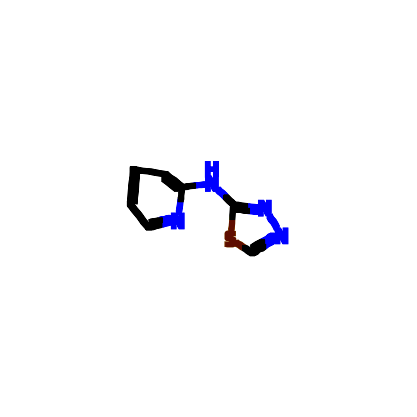 c1ccc(Nc2nncs2)nc1